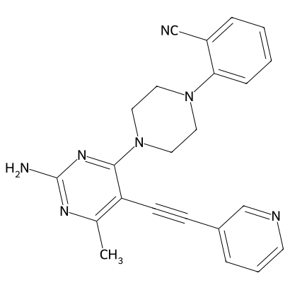 Cc1nc(N)nc(N2CCN(c3ccccc3C#N)CC2)c1C#Cc1cccnc1